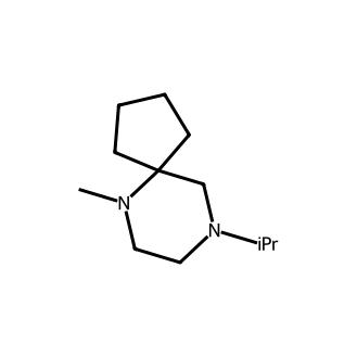 CC(C)N1CCN(C)C2(CCCC2)C1